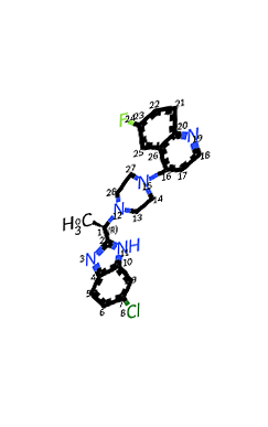 C[C@H](c1nc2ccc(Cl)cc2[nH]1)N1CCN(c2ccnc3ccc(F)cc23)CC1